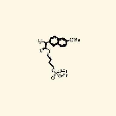 CCOP(=O)(OCC)OCCCCOC(=O)C(C)c1ccc2cc(OC)ccc2c1